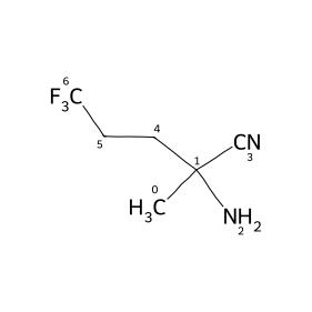 CC(N)(C#N)CCC(F)(F)F